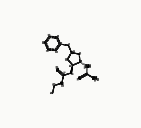 BC(=O)N[C@H]1CN(Cc2ccccc2)C[C@@H]1CC(=O)OCC